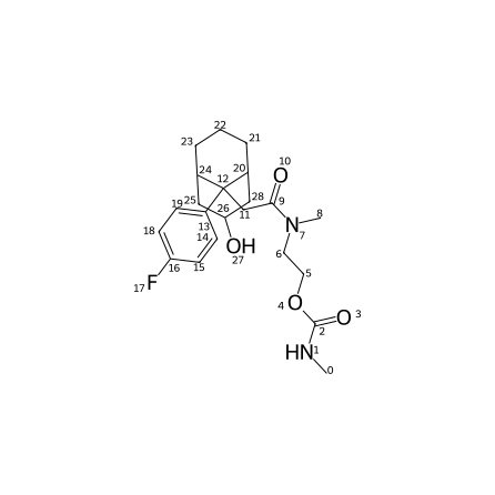 CNC(=O)OCCN(C)C(=O)CC1(c2ccc(F)cc2)C2CCCC1CC(O)C2